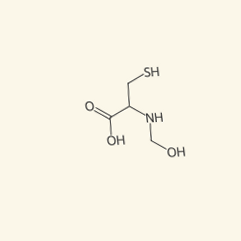 O=C(O)C(CS)NCO